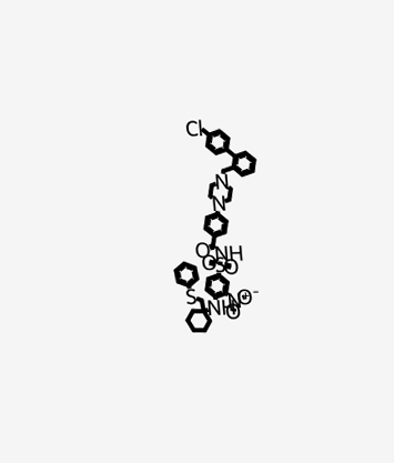 O=C(NS(=O)(=O)c1ccc(NC2(CSc3ccccc3)CCCCC2)c([N+](=O)[O-])c1)c1ccc(N2CCN(Cc3ccccc3-c3ccc(Cl)cc3)CC2)cc1